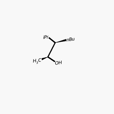 CCCC[C@H](C(C)C)[C@H](C)O